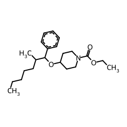 CCCCCC(C)C(OC1CCN(C(=O)OCC)CC1)c1ccccc1